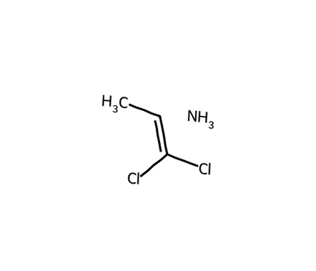 CC=C(Cl)Cl.N